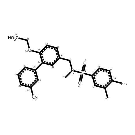 Cc1cc(S(=O)(=O)N(C)Cc2ccc(OCC(=O)O)c(-c3cccc(C#N)c3)c2)ccc1F